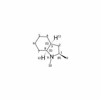 C[C@@H]1C[C@@H]2CCCC[C@@H]2N1C